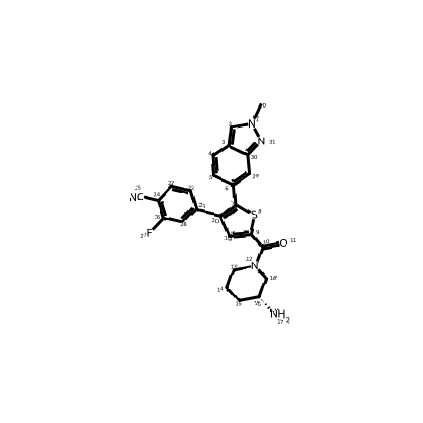 Cn1cc2ccc(-c3sc(C(=O)N4CCC[C@@H](N)C4)cc3-c3ccc(C#N)c(F)c3)cc2n1